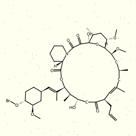 C=CC[C@@H]1/C=C(\C)C[C@H](C)C[C@H](OC)[C@H]2O[C@@](O)(C(=O)C(=O)N3CCCC[C@H]3C(=O)O[C@H](/C(C)=C/[C@@H]3CC[C@@H](OBr)[C@H](OC)C3)[C@H](C)[C@@H](O)CC1=O)[C@H](C)C[C@@H]2OC